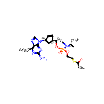 COc1nc(N)nc2c1ncn2[C@H]1C=C[C@@H](COP(=O)(OCCSC(=O)C(C)(C)C)N(C(C)C)[C@@H](C)C(=O)O)C1